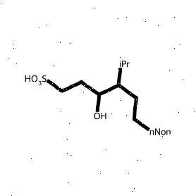 CCCCCCCCCCCC(C(C)C)C(O)CCS(=O)(=O)O